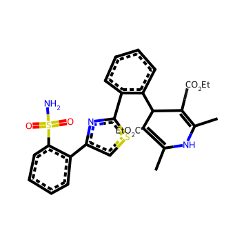 CCOC(=O)C1=C(C)NC(C)=C(C(=O)OCC)C1c1ccccc1-c1nc(-c2ccccc2S(N)(=O)=O)cs1